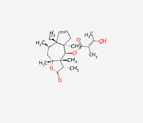 C/C(O)=C(/C)C(=O)O[C@H]1[C@]2(C)[C@H](C)C(=O)O[C@]2(C)C[C@@H](C)[C@]2(C)C=CC[C@@]12C